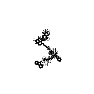 CC[C@@]1(O)C(=O)OCc2c1cc1n(c2=O)Cc2c-1nc1cc(F)c(C)c3c1c2C(CCCCOCNC(=O)CNC(=O)[C@H](Cc1ccccc1)NC(=O)CNC(=O)CNC(=O)OCC1c2ccccc2-c2ccccc21)CC3